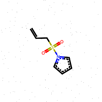 C=CCS(=O)(=O)n1cccc1